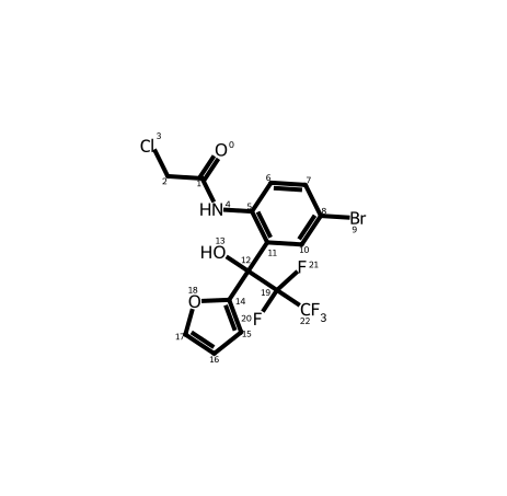 O=C(CCl)Nc1ccc(Br)cc1C(O)(c1ccco1)C(F)(F)C(F)(F)F